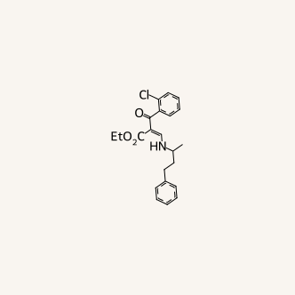 CCOC(=O)/C(=C\NC(C)CCc1ccccc1)C(=O)c1ccccc1Cl